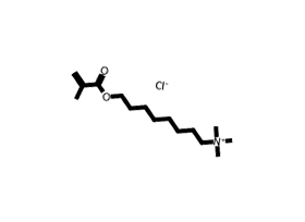 C=C(C)C(=O)OCCCCCCCC[N+](C)(C)C.[Cl-]